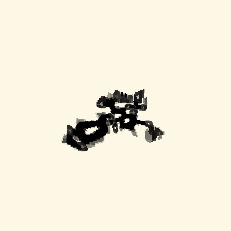 CCCOc1ccc2c(c1)C(OS(=O)(=O)C(F)(F)F)=C(C(=O)OC)N(Cc1ccc3c(c1)OCO3)S2(=O)=O